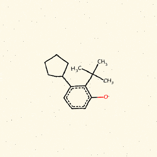 CC(C)(C)c1c([O])cccc1C1CCCC1